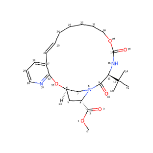 COC(=O)[C@@H]1C[C@@H]2CN1C(=O)[C@H](C(C)(C)C)NC(=O)OCCCCC/C=C/c1cccnc1O2